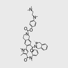 Cc1c(C(=O)N(C)c2ccccc2)cc(-c2cc3c(cc2C(=O)N2Cc4ccccc4C[C@H]2C)CN(C(=O)Oc2ccc(N(C)CCN(C)C)cc2)CC3)n1C